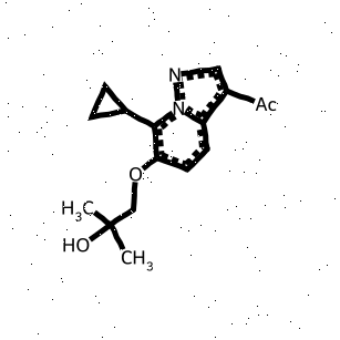 CC(=O)c1cnn2c(C3CC3)c(OCC(C)(C)O)ccc12